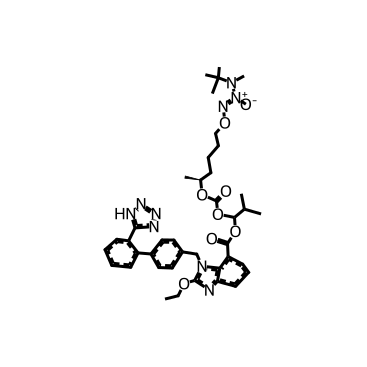 CCOc1nc2cccc(C(=O)OC(OC(=O)O[C@@H](C)CCCCO/N=[N+](\[O-])N(C)C(C)(C)C)C(C)C)c2n1Cc1ccc(-c2ccccc2-c2nnn[nH]2)cc1